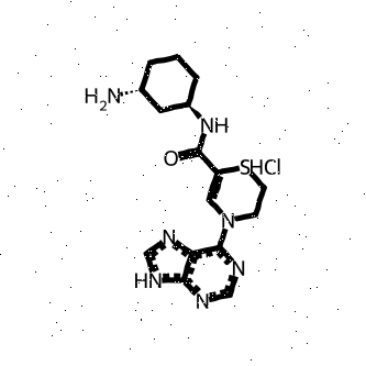 Cl.N[C@@H]1CCC[C@@H](NC(=O)C2=CN(c3ncnc4[nH]cnc34)CCS2)C1